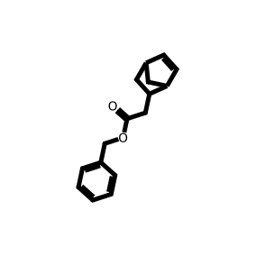 O=C(CC1CC2C=CC1C2)OCc1ccccc1